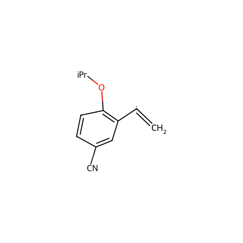 C=[C]c1cc(C#N)ccc1OC(C)C